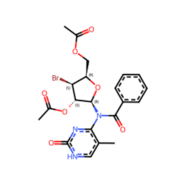 CC(=O)OC[C@H]1O[C@@H](N(C(=O)c2ccccc2)c2nc(=O)[nH]cc2C)[C@H](OC(C)=O)[C@H]1Br